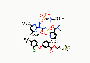 CCOC(=O)COC(=O)c1cc(Oc2ccc(C(F)(F)F)cc2Cl)ccc1[N+](=O)[O-].COc1cc(OC)nc(NC(=O)NS(=O)(=O)c2ncccc2C(=O)N(C)C)n1.C[S+](C)C.O=C(O)CNCP(=O)([O-])O